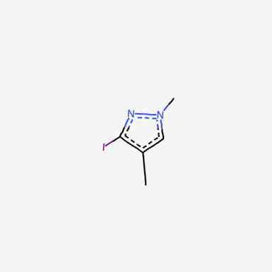 Cc1cn(C)nc1I